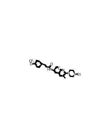 CCN1CCN(c2nc3ccc(NC(=O)C=Cc4ccc(OC(F)(F)F)cc4)cc3cc2C)CC1